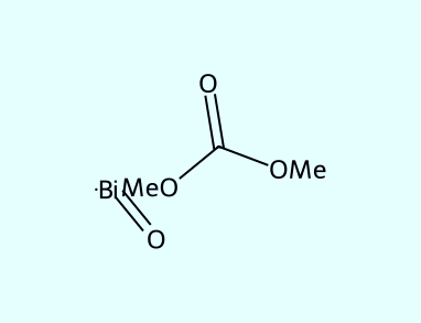 COC(=O)OC.[O]=[Bi]